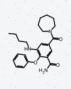 CCCCNc1cc(C(=O)N2CCCCCC2)cc(C(N)=O)c1Oc1ccccc1